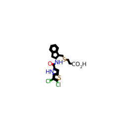 O=C(O)CCSCC1c2ccccc2C[C@H]1NC(=O)c1cc2sc(Cl)c(Cl)c2[nH]1